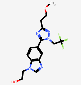 COCCc1nc(-c2ccc3c(c2)ncn3CCO)n(CC(F)(F)F)n1